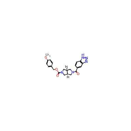 O=C(OCc1ccc(OC(F)(F)F)cc1)N1C[C@@H]2CN(C(=O)c3ccc4[nH]nnc4c3)C[C@H]2C1